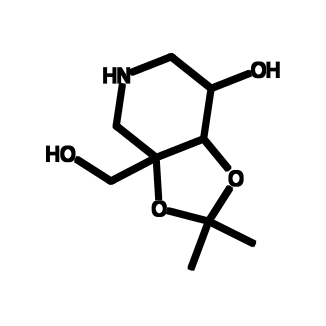 CC1(C)OC2C(O)CNCC2(CO)O1